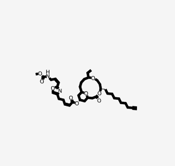 C#CCCCCCCCC[C@H]1CCOC(CC)CCCC2C[C@@H](OC(=O)/C=C\CCc3coc(/C=C\CNC(=O)OC)n3)CC(CC(=O)O1)O2